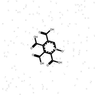 O=C(O)c1c[n+]([O-])c(C(=O)O)c(C(=O)O)c1C(=O)O